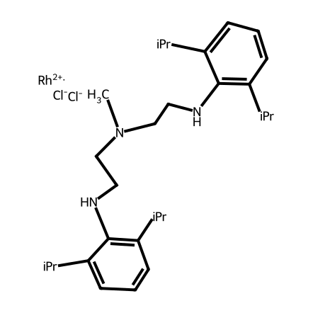 CC(C)c1cccc(C(C)C)c1NCCN(C)CCNc1c(C(C)C)cccc1C(C)C.[Cl-].[Cl-].[Rh+2]